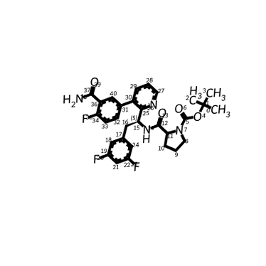 CC(C)(C)OC(=O)N1CCCC1C(=O)N[C@@H](Cc1cc(F)cc(F)c1)c1ncccc1-c1ccc(F)c(C(N)=O)c1